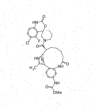 COC(=O)Nc1ccc2c(c1)NC(=O)CCCC[C@H](C(=O)N1CCC[C@@]3(C1)OC(=O)Nc1ccc(Cl)c(F)c13)c1nc-2c(C)[nH]1